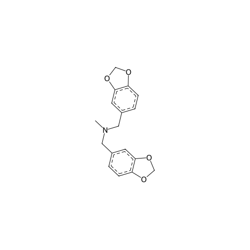 CN(Cc1ccc2c(c1)OCO2)Cc1ccc2c(c1)OCO2